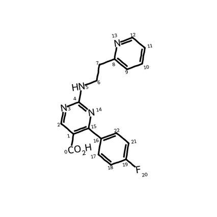 O=C(O)c1cnc(NCCc2ccccn2)nc1-c1ccc(F)cc1